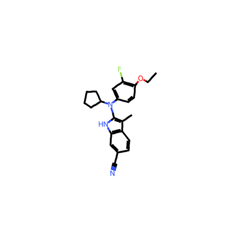 CCOc1ccc(N(c2[nH]c3cc(C#N)ccc3c2C)C2CCCC2)cc1F